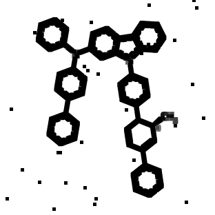 C[C@H]1C=C(c2ccccc2)C=CC1c1ccc(-n2c3ccccc3c3ccc(N(c4ccccc4)c4ccc(-c5ccccc5)cc4)cc32)cc1